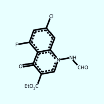 CCOC(=O)c1cn(NC=O)c2cc(Cl)cc(F)c2c1=O